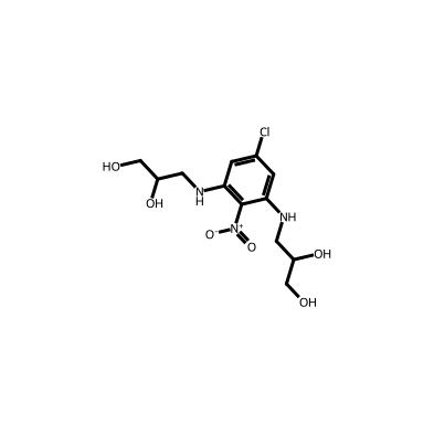 O=[N+]([O-])c1c(NCC(O)CO)cc(Cl)cc1NCC(O)CO